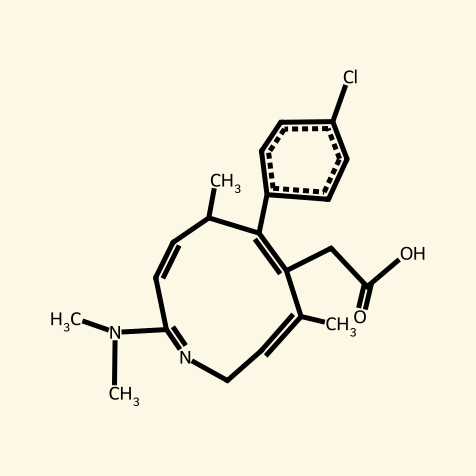 CC1=C/C/N=C(N(C)C)\C=C/C(C)/C(c2ccc(Cl)cc2)=C\1CC(=O)O